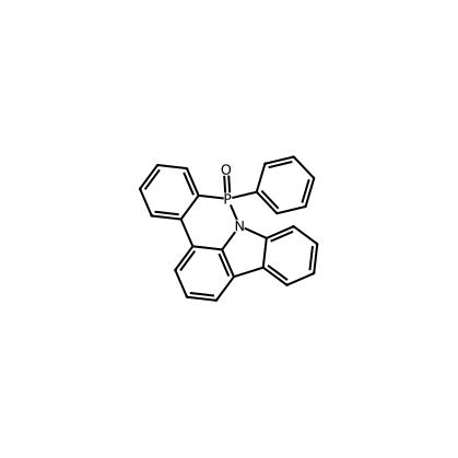 O=P1(c2ccccc2)c2ccccc2-c2cccc3c4ccccc4n1c23